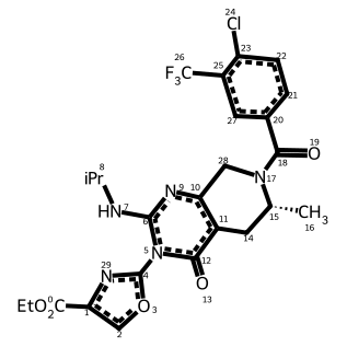 CCOC(=O)c1coc(-n2c(NC(C)C)nc3c(c2=O)C[C@@H](C)N(C(=O)c2ccc(Cl)c(C(F)(F)F)c2)C3)n1